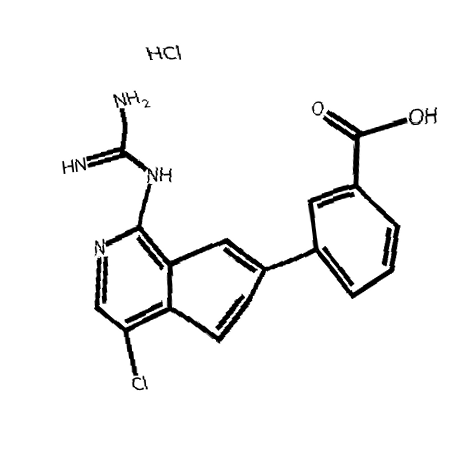 Cl.N=C(N)Nc1ncc(Cl)c2ccc(-c3cccc(C(=O)O)c3)cc12